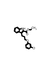 CCOC(=O)c1[nH]c2ccccc2c1CCCOc1cccc(Cl)c1